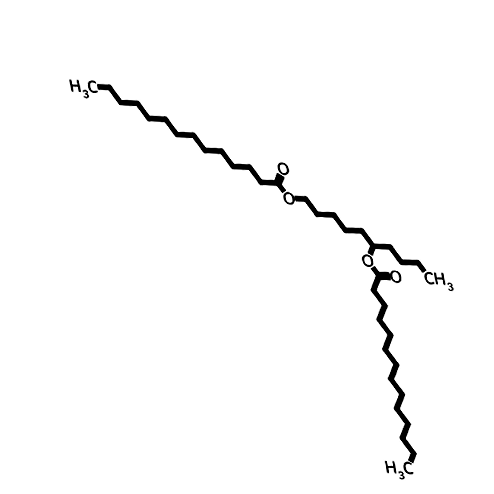 CCCCCCCCCCCCCC(=O)OCCCCCC(CCCC)OC(=O)CCCCCCCCCCCCC